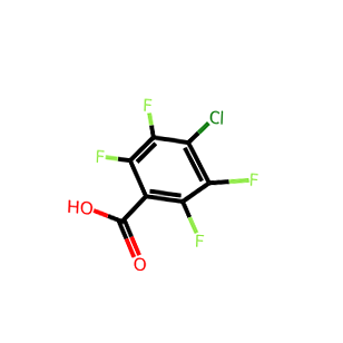 O=C(O)c1c(F)c(F)c(Cl)c(F)c1F